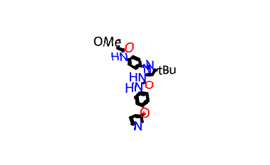 COCC(=O)Nc1ccc(-n2nc(C(C)(C)C)cc2NC(=O)Nc2ccc(Oc3cccnc3)cc2)cc1